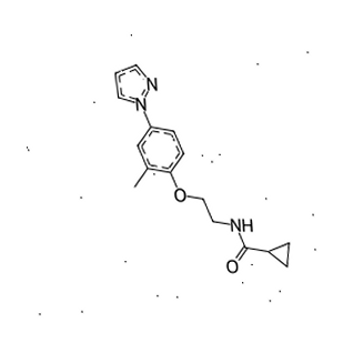 Cc1cc(-n2cccn2)ccc1OCCNC(=O)C1CC1